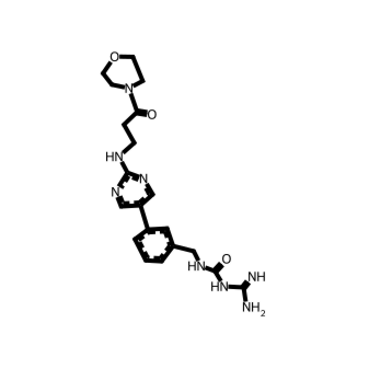 N=C(N)NC(=O)NCc1cccc(-c2cnc(NCCC(=O)N3CCOCC3)nc2)c1